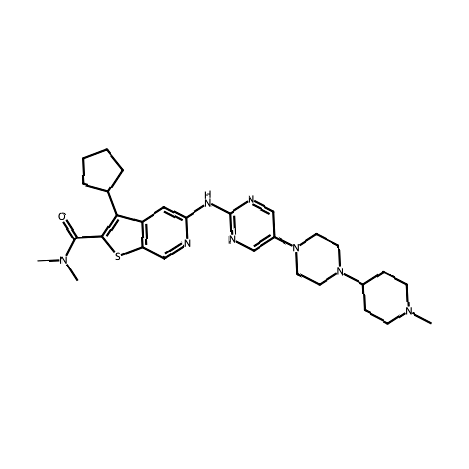 CN1CCC(N2CCN(c3cnc(Nc4cc5c(C6CCCC6)c(C(=O)N(C)C)sc5cn4)nc3)CC2)CC1